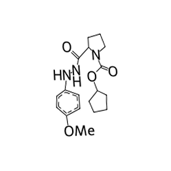 COc1ccc(NNC(=O)C2CCCN2C(=O)OC2CCCC2)cc1